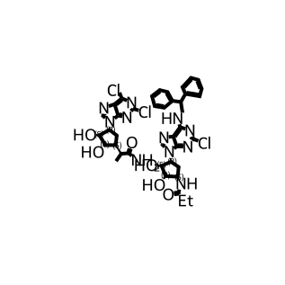 CC(C(N)=O)[C@@H]1C[C@@H](n2cnc3c(Cl)nc(Cl)nc32)[C@H](O)[C@@H]1O.CCC(=O)N[C@H]1C[C@@H](n2cnc3c(NCC(c4ccccc4)c4ccccc4)nc(Cl)nc32)[C@H](O)[C@@H]1O